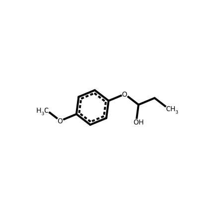 CCC(O)Oc1ccc(OC)cc1